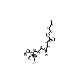 CCCCOC(=O)CCN(C)CCC[Si](C)(OC)OC